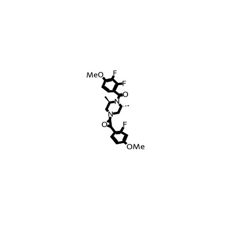 COc1ccc(C2OC2N2C[C@@H](C)N(C(=O)c3ccc(OC)c(F)c3F)[C@H](C)C2)c(F)c1